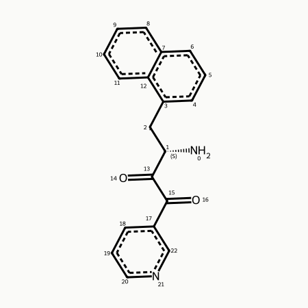 N[C@@H]([CH]c1cccc2ccccc12)C(=O)C(=O)c1cccnc1